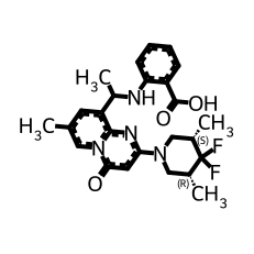 Cc1cc(C(C)Nc2ccccc2C(=O)O)c2nc(N3C[C@@H](C)C(F)(F)[C@@H](C)C3)cc(=O)n2c1